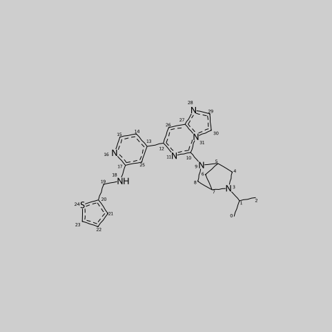 CC(C)N1CC2CC1CN2c1nc(-c2ccnc(NCc3cccs3)c2)cc2nccn12